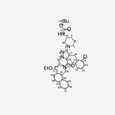 CCOC(=O)c1cn2nc(N3CCC[C@@H](NC(=O)OC(C)(C)C)C3)c(Cc3ccccc3Cl)c2c(=O)n1Cc1cccc2ccccc12